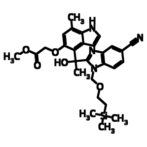 COC(=O)COc1cc(C)c2[nH]ccc2c1C(C)(O)c1nc2cc(C#N)ccc2n1COCC[Si](C)(C)C